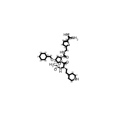 CS(=O)(=O)N[C@H](CCC1CCNCC1)C(=O)N1C[C@H](OCC2CCCCC2)C[C@H]1C(=O)NCC1CC=C(C(=N)N)S1